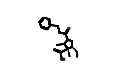 CC[C@H]1CN(C(=O)OCc2ccccc2)C(C)[C@]1(C)C(=O)O